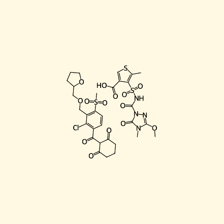 COc1nn(C(=O)NS(=O)(=O)c2c(C(=O)O)csc2C)c(=O)n1C.CS(=O)(=O)c1ccc(C(=O)C2C(=O)CCCC2=O)c(Cl)c1COCC1CCCO1